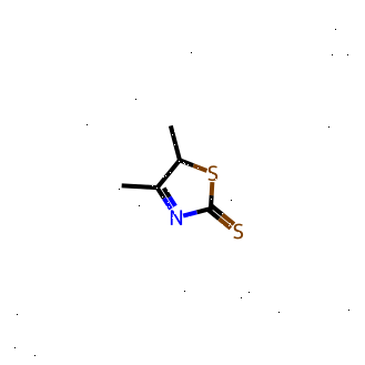 CC1=NC(=S)SC1C